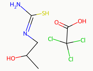 CC(O)CN=C(N)S.O=C(O)C(Cl)(Cl)Cl